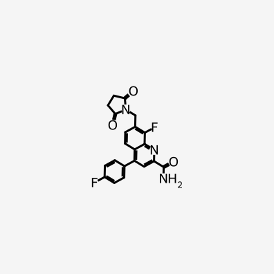 NC(=O)c1cc(-c2ccc(F)cc2)c2ccc(CN3C(=O)CCC3=O)c(F)c2n1